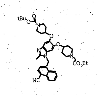 CCOC(=O)CN1CCC(Oc2cc3c(cc2OC2CCN(C(=O)OC(C)(C)C)CC2)nc(C)n3Cc2ccc(C#N)c3ccccc23)CC1